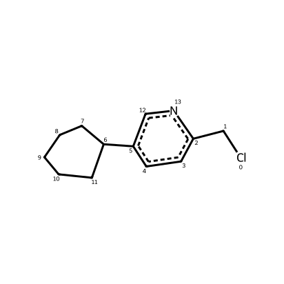 ClCc1ccc(C2CCCCC2)cn1